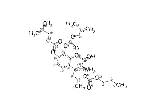 CCCOC(=O)OC(C)CC(c1ccc(OC(=O)OCC(C)C)c(OC(=O)OCC(C)C)c1)[C@H](N)C(=O)O